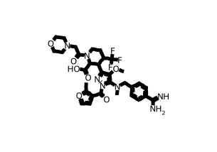 COc1c(C2C(C(=O)O)N(C(=O)CN3CCOCC3)CCC2C(F)(F)F)nn(C(=O)c2ccoc2C)c1N(C)Cc1ccc(C(=N)N)cc1